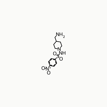 NCC1CCN(NS(=O)(=O)c2ccc([N+](=O)[O-])cc2)CC1